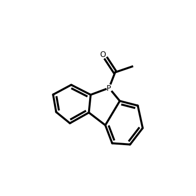 CC(=O)p1c2ccccc2c2ccccc21